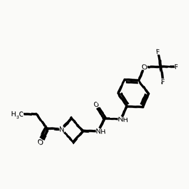 CCC(=O)N1CC(NC(=O)Nc2ccc(OC(F)(F)F)cc2)C1